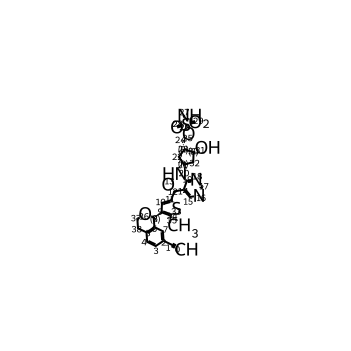 C#Cc1ccc2c(c1)[C@H](c1cc(C(=O)c3cncnc3N[C@@H]3C[C@H](COS(N)(=O)=O)[C@@H](O)C3)sc1C)OCC2